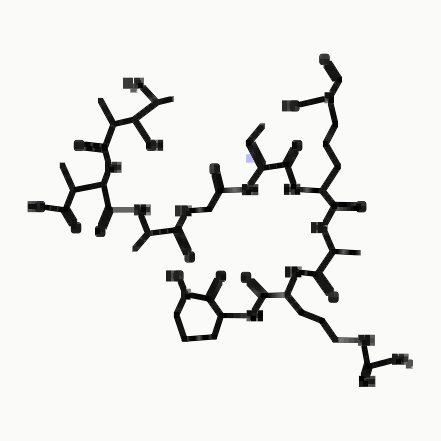 C/C=C(/NC(=O)CNC(=O)C(C)NC(=O)C(NC(=O)C(C)C(O)C(C)N)C(C)C(=O)O)C(=O)NC(CCCN(O)C=O)C(=O)NC(C)C(=O)NC(CCCNC(=N)N)C(=O)NC1CCCN(O)C1=O